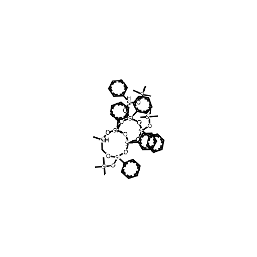 C[SiH]1CO[Si](O[Si](C)(C)C)(c2ccccc2)O[Si]2(c3ccccc3)O[Si](c3ccccc3)(O1)O[Si](O[SiH](O[Si](C)(C)C)c1ccccc1)(c1ccccc1)O[Si](O[Si](C)(C)C)(c1ccccc1)O2